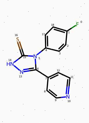 Fc1ccc(-n2c(-c3ccncc3)n[nH]c2=S)cc1